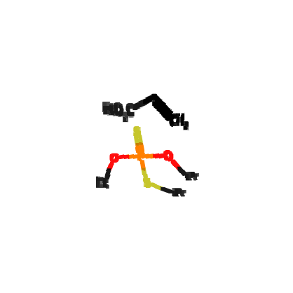 C=CC(=O)OCC.CCOP(=S)(OC(C)C)SC(C)C